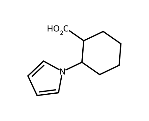 O=C(O)C1CCCCC1n1cccc1